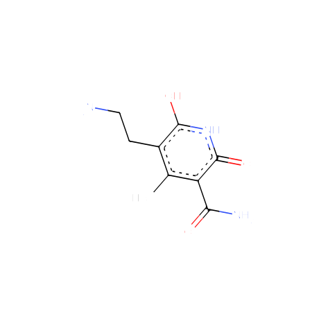 Cc1c(CCN)c(O)[nH]c(=O)c1C(N)=O